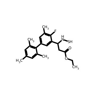 CCOC(=O)CC(NS)c1cc(-c2c(C)cc(C)cc2C)cc(C)c1F